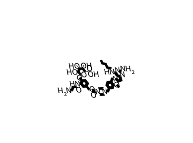 CCCCCNc1nc(N)nc2ccn(Cc3ccc(CN4CCN(C(=O)OCc5ccc(OC6O[C@@H](C(=O)O)[C@@H](O)[C@@H](O)[C@@H]6O)c(NC(=O)CCN)c5)CC4)cc3OC)c12